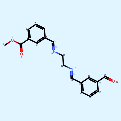 COC(=O)c1cccc(/C=N/CC/N=C/c2cccc(C=O)c2)c1